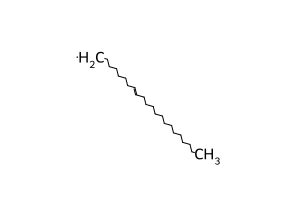 [CH2]CCCCCC/C=C/CCCCCCCCCCCCC